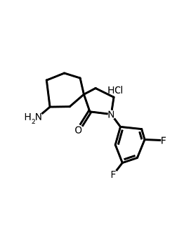 Cl.NC1CCCC2(CCN(c3cc(F)cc(F)c3)C2=O)C1